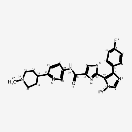 CC(C)n1cnc(-c2ccc(F)cc2)c1-c1nc(C(=O)Nc2ccc(C3CCN(C)CC3)nc2)cs1